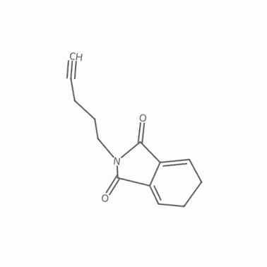 C#CCCCN1C(=O)C2=CCCC=C2C1=O